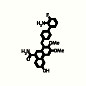 COc1cc2c(cc(C(N)=O)c3ccc(O)cc32)c(Cc2ccc(-c3cccc(F)c3N)cc2)c1OC